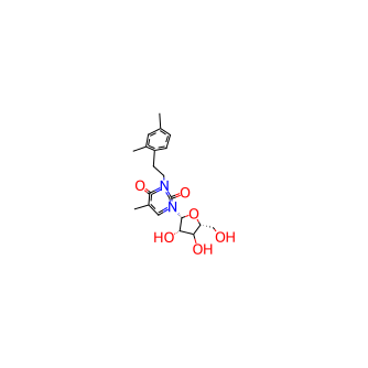 Cc1ccc(CCn2c(=O)c(C)cn([C@@H]3O[C@H](CO)C(O)[C@@H]3O)c2=O)c(C)c1